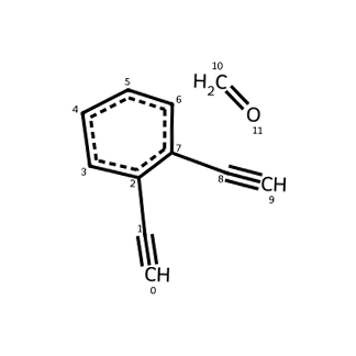 C#Cc1ccccc1C#C.C=O